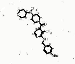 Cc1c(NCc2ccc(C(C)(C)C)cc2)ncnc1C(=O)N1CCC(N(C)C2CCOCC2)CC1